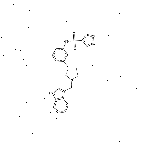 O=S(=O)(Nc1cccc(C2CCN(Cc3c[nH]c4ccccc34)C2)c1)c1cnoc1